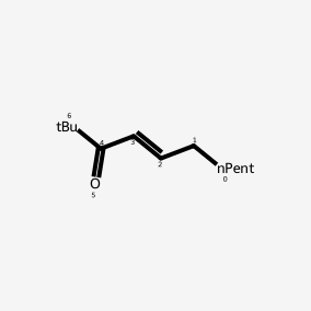 CCCCCC/C=C/C(=O)C(C)(C)C